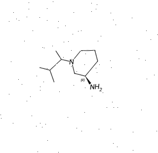 CC(C)C(C)N1CCC[C@@H](N)C1